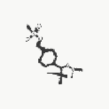 C[SiH](C)OC(C1CCC(COS(C)(=O)=O)CC1)C(C)(C)C